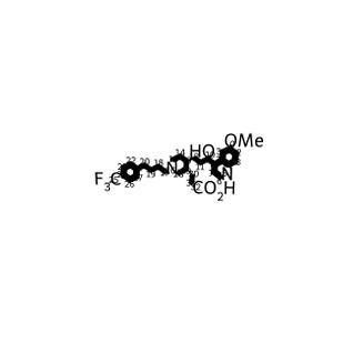 COc1ccc2nccc([C@H](O)CC[C@@H]3CCN(CCCCc4ccc(C(F)(F)F)cc4)C[C@H]3CCC(=O)O)c2c1